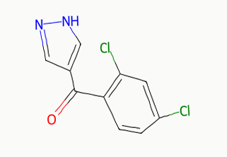 O=C(c1cn[nH]c1)c1ccc(Cl)cc1Cl